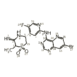 CC1C(=N)N[C@H](c2cc(Nc3ncnc4cc(Br)cnc34)ncc2F)CS1(=O)=O